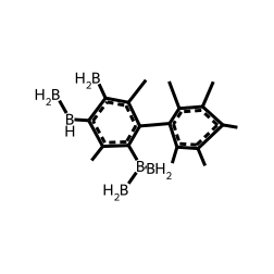 BBc1c(B)c(C)c(-c2c(C)c(C)c(C)c(C)c2C)c(B(B)B)c1C